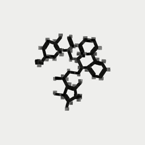 C=CC(CC1C(CC[C@H](C)c2c(C)[nH]c(C)c2C)c2ccccc2-c2cccc[n+]21)[n+]1cc(C(C)(C)C)ccc1C